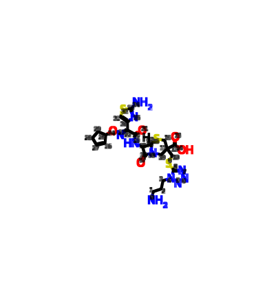 NCCCn1nnnc1SCC1(C(=O)O)CS[C@@H]2C(NC(=O)C(=NOC3C=CCC3)c3csc(N)n3)C(=O)N2C1